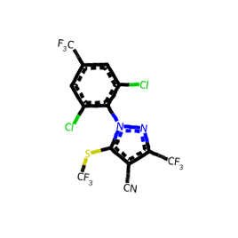 N#Cc1c(C(F)(F)F)nn(-c2c(Cl)cc(C(F)(F)F)cc2Cl)c1SC(F)(F)F